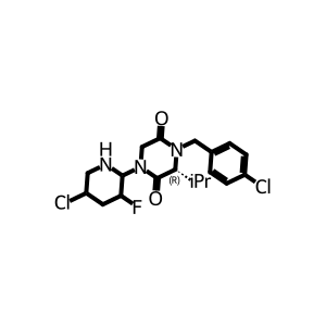 CC(C)[C@@H]1C(=O)N(C2NCC(Cl)CC2F)CC(=O)N1Cc1ccc(Cl)cc1